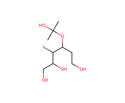 CC(C)(O)OC(CCO)C(I)C(O)CO